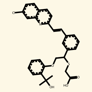 CC(C)(O)c1ccccc1OCC(SCC(=O)O)c1cccc(/C=C/c2ccc3ccc(Cl)cc3n2)c1